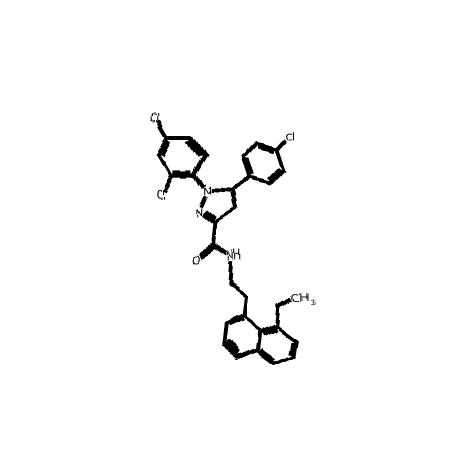 CCc1cccc2cccc(CCNC(=O)C3=NN(c4ccc(Cl)cc4Cl)C(c4ccc(Cl)cc4)C3)c12